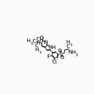 C[C@H](N)CCS(=O)(=O)c1cc(Cl)c(F)c(-c2cc3cn(C(C)(C)C)c(=O)nc3[nH]2)c1